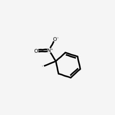 [CH2]C1([N+](=O)[O-])C=CC=CC1